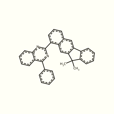 CC1(C)c2ccccc2-c2cc3cccc(-c4nc(-c5ccccc5)c5ccccc5n4)c3cc21